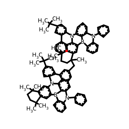 CC(C)(C)c1ccc(N2c3cc4c(cc3B3c5ccccc5N(c5ccccc5)c5cccc2c53)C(C)(C)CCC4(C)C)c(-c2cccc(CC3(C)CCC(C)(C)c4cc5c(cc43)B3c4ccccc4N(c4ccccc4)c4cccc(c43)N5c3ccc(C(C)(C)C)cc3-c3ccccc3)c2)c1